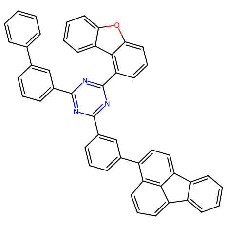 c1ccc(-c2cccc(-c3nc(-c4cccc(-c5ccc6c7c(cccc57)-c5ccccc5-6)c4)nc(-c4cccc5oc6ccccc6c45)n3)c2)cc1